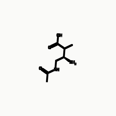 CC(=O)NC[C@H](N)C(C)C(=O)O